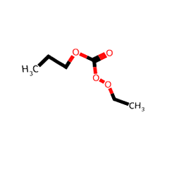 CCCOC(=O)OOCC